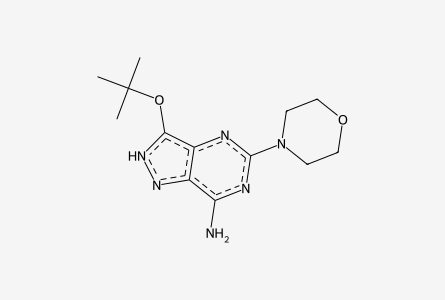 CC(C)(C)Oc1[nH]nc2c(N)nc(N3CCOCC3)nc12